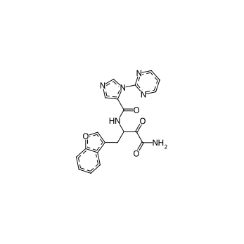 NC(=O)C(=O)C(Cc1coc2ccccc12)NC(=O)c1cncn1-c1ncccn1